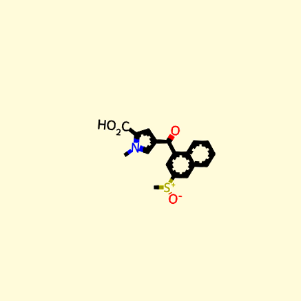 Cn1cc(C(=O)c2cc([S+](C)[O-])cc3ccccc23)cc1C(=O)O